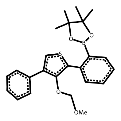 COCOc1c(-c2ccccc2)csc1-c1ccccc1B1OC(C)(C)C(C)(C)O1